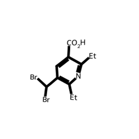 CCc1nc(CC)c(C(Br)Br)cc1C(=O)O